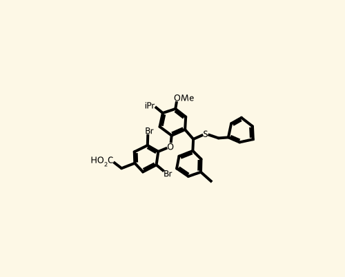 COc1cc(C(SCc2ccccc2)c2cccc(C)c2)c(Oc2c(Br)cc(CC(=O)O)cc2Br)cc1C(C)C